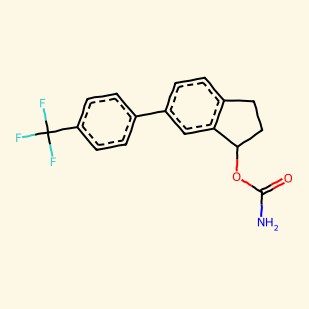 NC(=O)OC1CCc2ccc(-c3ccc(C(F)(F)F)cc3)cc21